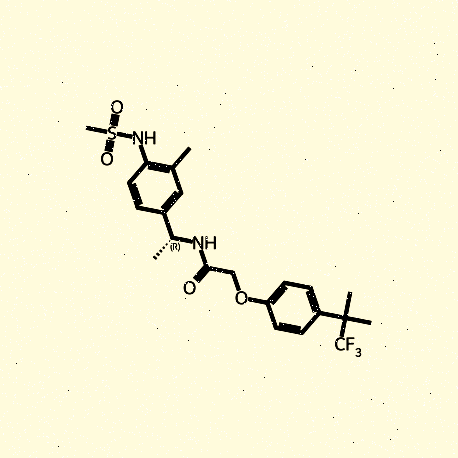 Cc1cc([C@@H](C)NC(=O)COc2ccc(C(C)(C)C(F)(F)F)cc2)ccc1NS(C)(=O)=O